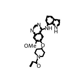 C=CC(=O)N1CCC(Oc2cc3c(Nc4cccc5cc[nH]c45)ncnc3cc2OC)CC1